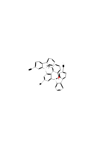 N#Cc1cc(-n2c3ccccc3c3ccc(C#N)cc32)c(-c2c(C(F)(F)F)cccc2C(F)(F)F)c(-n2c3ccccc3c3ccc(C#N)cc32)c1